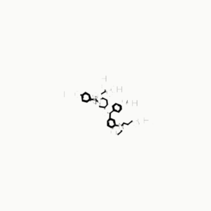 COCCCN1CCOc2ccc([C@@H](O[C@@H]3CC[C@H](CC(C)OC)N(S(=O)(=O)c4ccc(C)cc4)C3)c3ccc(OC)cc3)cc21